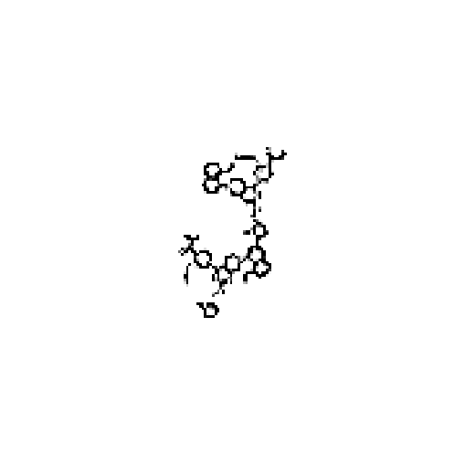 C=CC(=O)N1CCN(c2nc(OC[C@@H]3CCC(c4cc(N5CCc6c(nc(OC[C@@H]7CCCN7C)nc6N6CCN(C(=O)C(=C)F)[C@@H](CC#N)C6)C5)c5c(C=C)cccc5c4)N3C)nc3c2CCN(c2cccc4cccc(C=C)c24)C3)C[C@@H]1CC#N